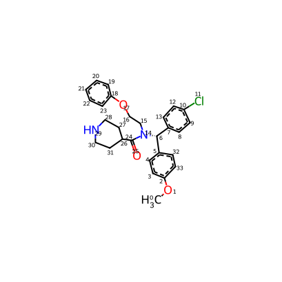 COc1ccc([C@@H](c2ccc(Cl)cc2)N(CCOc2ccccc2)C(=O)C2CCNCC2)cc1